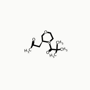 CC(=O)C[C@H]1COCCN1C(=O)C(C)(C)C